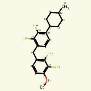 CCOc1ccc(Cc2ccc(C3CCC(C)CC3)c(F)c2F)c(F)c1F